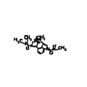 CCNC(=O)n1cc2c3c(cccc31)C1=C[C@@H](C(=O)N(CC)CC)CN(C)[C@@H]1C2